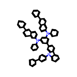 c1ccc(-c2ccc(-n3c4ccccc4c4ccc(-c5cc(N(c6ccccc6)c6ccc7cc(-c8ccccc8)ccc7c6)cc(N(c6ccccc6)c6ccc7cc(-c8ccccc8)ccc7c6)c5)cc43)cc2)cc1